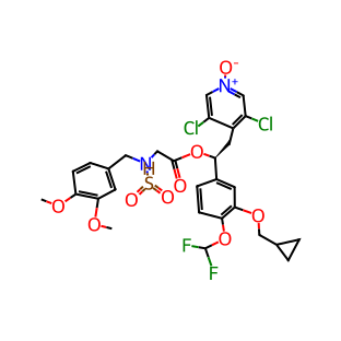 COc1ccc(CN(CC(=O)O[C@@H](Cc2c(Cl)c[n+]([O-])cc2Cl)c2ccc(OC(F)F)c(OCC3CC3)c2)[SH](=O)=O)cc1OC